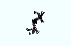 BrCCCCCCOc1cc(/C=C/c2ccc(-c3ccc(-c4c5c(c(-c6ccc(-c7ccc(/C=C/c8cc(OCCCCCCBr)c(OCCCCCCBr)c(OCCCCCCBr)c8)cc7)s6)c6nsnc46)N=S=N5)s3)cc2)cc(OCCCCCCBr)c1OCCCCCCBr